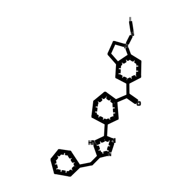 O=C(c1cccc(-c2nnc(Cc3ccccc3)[nH]2)c1)c1ccc2c(c1)CCN2SI